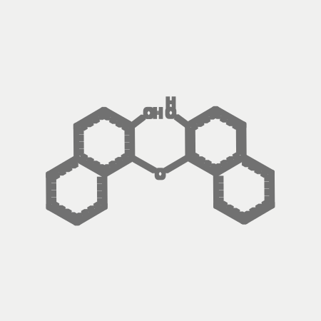 Oc1ccc2ccccc2c1Oc1c(O)ccc2ccccc12